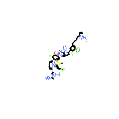 C=C[C@H](N)CCCc1cc(Cl)c(F)c(-c2cc3cn(-c4cc(F)c([C@@H]5CCC[C@@H](CCNC(C)=N)N5CCCF)c(SC)c4)c(=O)nc3[nH]2)c1